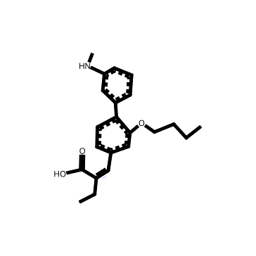 CCCCOc1cc(/C=C(/CC)C(=O)O)ccc1-c1cccc(NC)c1